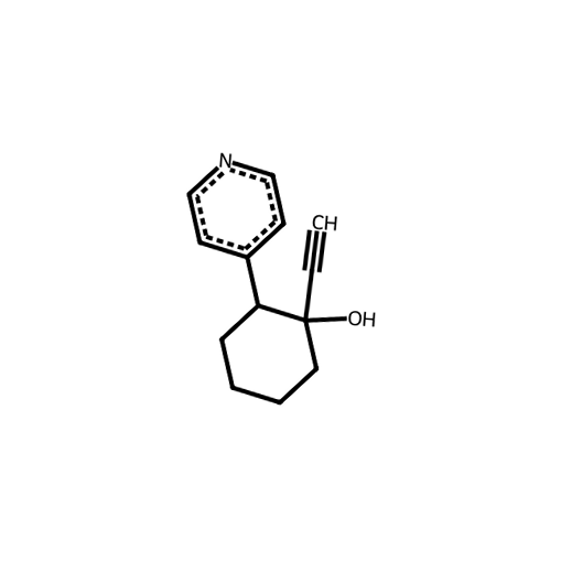 C#CC1(O)CCCCC1c1ccncc1